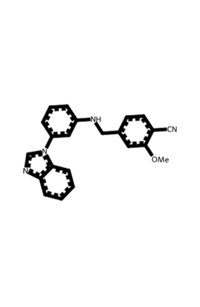 COc1cc(CNc2cccc(-n3cnc4ccccc43)c2)ccc1C#N